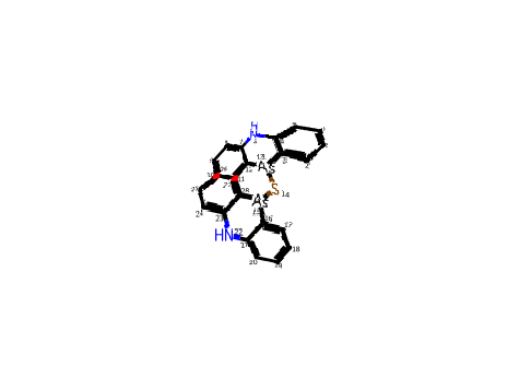 c1ccc2c(c1)Nc1ccccc1[As]2S[As]1c2ccccc2Nc2ccccc21